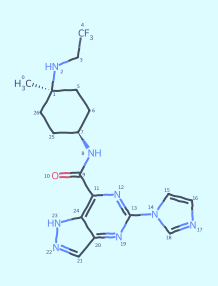 C[C@]1(NCC(F)(F)F)CC[C@@H](NC(=O)c2nc(-n3ccnc3)nc3cn[nH]c23)CC1